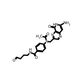 CC(=O)N(Cc1cnc2cc(N)[nH]c(=O)c2n1)c1ccc(C(=O)NCCCC=O)cc1